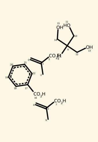 C=C(C)C(=O)O.C=C(C)C(=O)O.CCC(CO)(CO)CO.O=C(O)c1ccccc1